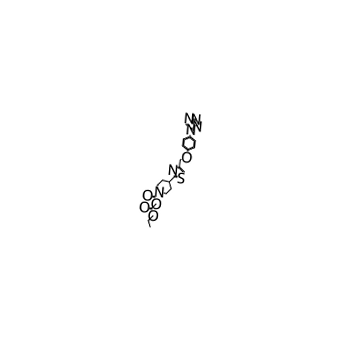 CCOC(=O)OC(=O)N1CCC(c2nc(COc3ccc(-n4cnnn4)cc3)cs2)CC1